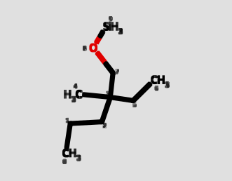 CCCC(C)(CC)CO[SiH3]